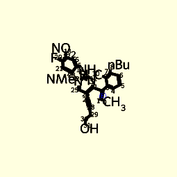 C/C=C(\c1cccc(CCCC)c1C)c1nc(Nc2cc([N+](=O)[O-])c(F)cc2NC)ncc1C#CCCO